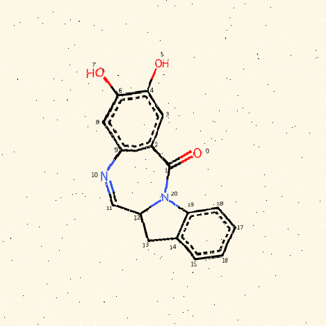 O=C1c2cc(O)c(O)cc2N=CC2Cc3ccccc3N12